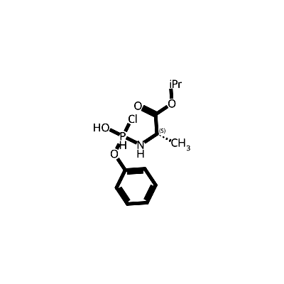 CC(C)OC(=O)[C@H](C)N[PH](O)(Cl)Oc1ccccc1